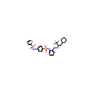 O=S(=O)(Nc1ccccc1CNC(CC1CCCCC1)C(F)(F)F)c1ccc(NS(=O)(=O)c2cccs2)cc1